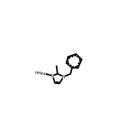 CCCCCCN1C=CN(Cc2ccccc2)C1C